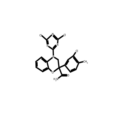 Cc1ccc(C2(C(N)=O)CN(c3nc(Cl)nc(Cl)n3)c3ccccc3O2)cc1Cl